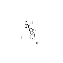 Cc1c(-c2cc3cc(N(C(=O)O)[C@@H]4CCN(C5COC5)C[C@@H]4F)ncc3c(N)c2F)cnc2c1NCCO2